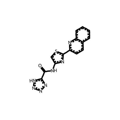 O=C(Nc1csc(-c2ccc3ccccc3n2)n1)c1nnn[nH]1